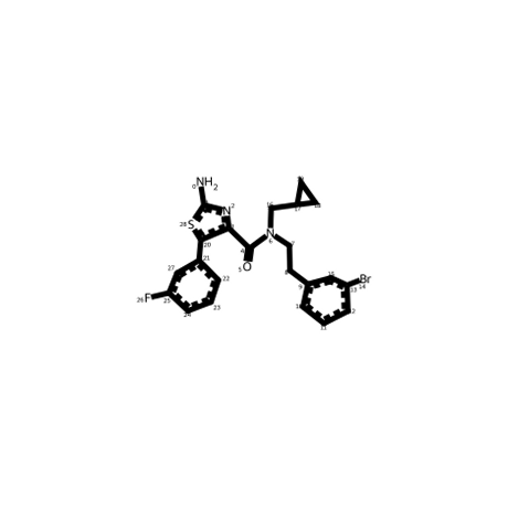 Nc1nc(C(=O)N(CCc2cccc(Br)c2)CC2CC2)c(-c2cccc(F)c2)s1